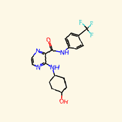 O=C(Nc1ccc(C(F)(F)F)cc1)c1nccnc1NC1CCC(O)CC1